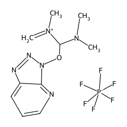 C=[N+](C)C(On1nnc2cccnc21)N(C)C.F[P-](F)(F)(F)(F)F